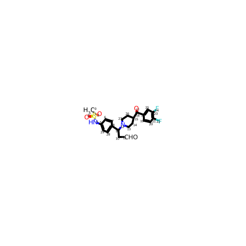 CS(=O)(=O)Nc1ccc(C(CC=O)N2CCC(C(=O)c3ccc(F)c(F)c3)CC2)cc1